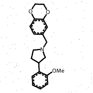 COc1ccccc1C1CCN(Cc2ccc3c(c2)OCCO3)C1